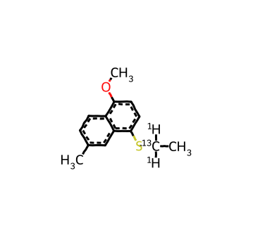 [1H][13C]([1H])(C)Sc1ccc(OC)c2ccc(C)cc12